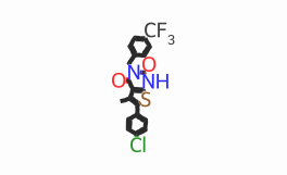 Cc1c(-c2ccc(Cl)cc2)sc2[nH]c(=O)n(Cc3ccc(C(F)(F)F)cc3)c(=O)c12